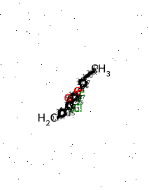 C=CC1CCC(c2cc3oc4cc(OCC5CCC(CCCCC)CC5)c(F)c(F)c4c3c(Cl)c2F)CC1